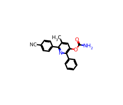 Cc1cc(OC(N)=O)c(-c2ccccc2)nc1-c1ccc(C#N)cc1